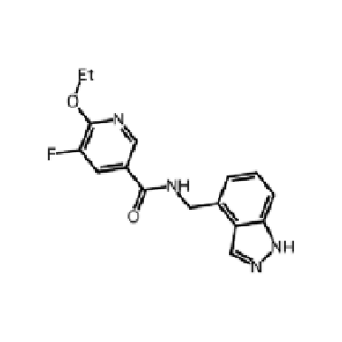 CCOc1ncc(C(=O)NCc2cccc3[nH]ncc23)cc1F